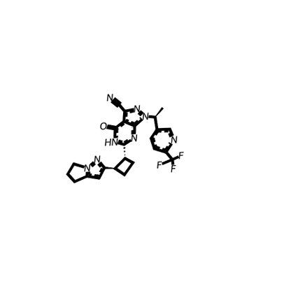 C[C@@H](c1ccc(C(F)(F)F)nc1)n1nc(C#N)c2c(=O)[nH]c([C@@H]3CC[C@H]3c3cc4n(n3)CCC4)nc21